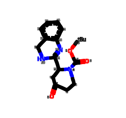 CC(C)(C)OC(=O)N1CCC(=O)CC1C1=Nc2ccccc2CN1